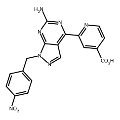 Nc1nc(-c2cc(C(=O)O)ccn2)c2cnn(Cc3ccc([N+](=O)[O-])cc3)c2n1